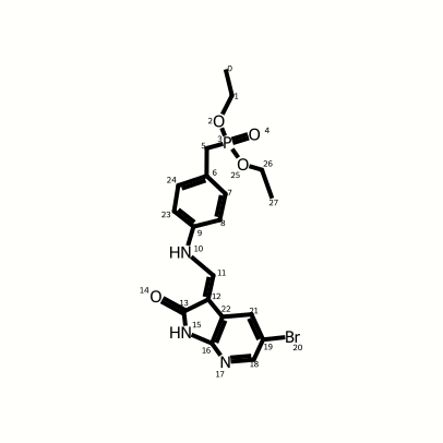 CCOP(=O)(Cc1ccc(N/C=C2\C(=O)Nc3ncc(Br)cc32)cc1)OCC